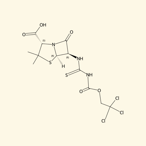 CC1(C)S[C@@H]2[C@H](NC(=S)NC(=O)OCC(Cl)(Cl)Cl)C(=O)N2[C@H]1C(=O)O